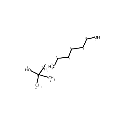 CC(C)(C)O.CCCCCCO